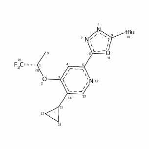 C[C@H](Oc1cc(-c2nnc(C(C)(C)C)o2)ncc1C1CC1)C(F)(F)F